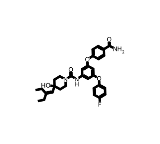 CCC(=CC1(O)CCN(C(=O)Nc2cc(Oc3ccc(F)cc3)cc(Oc3ccc(C(N)=O)cc3)c2)CC1)CC